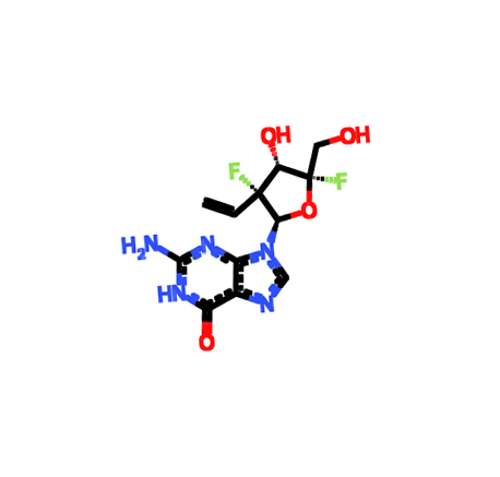 C=C[C@]1(F)[C@H](n2cnc3c(=O)[nH]c(N)nc32)O[C@](F)(CO)[C@H]1O